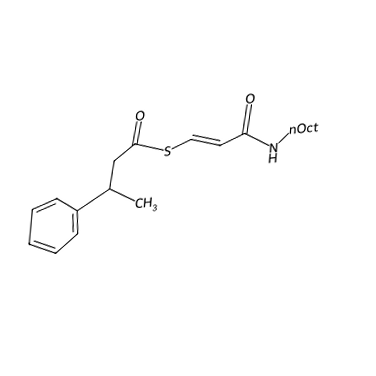 CCCCCCCCNC(=O)C=CSC(=O)CC(C)c1ccccc1